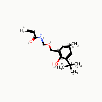 C=CC(=O)NCOCc1cc(C)cc(C(C)(C)C)c1O